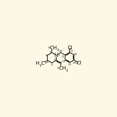 CC=C1CC(C)CC(C)N1Cc1ccc(Cl)cc1Cl